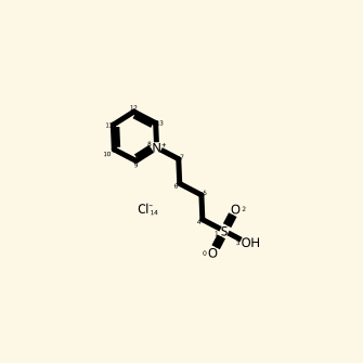 O=S(=O)(O)CCCC[n+]1ccccc1.[Cl-]